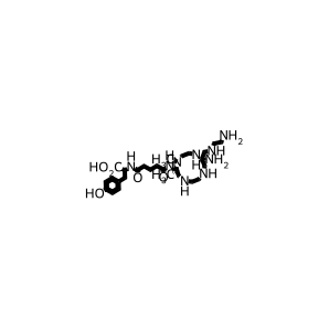 CN1CCN[C@](N)(CNCCN)CNCCNC[C@@]1(C)NC(=O)CCCC(=O)NC(Cc1ccc(O)cc1)C(=O)O